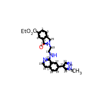 CCOC(=O)c1ccc2c(c1)C(=O)N(CCNc1nccc3ccc(-c4cnn(C)c4)cc13)C2